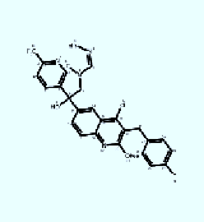 CCC/N=C\N(C)CC(O)(c1ccc(C(F)(F)F)nc1)c1ccc2nc(OC)c(Cc3ccc(F)cc3)c(Cl)c2c1